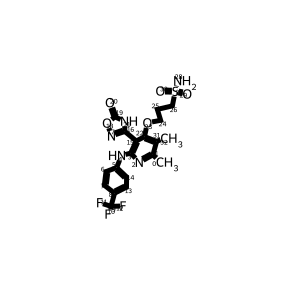 Cc1nc(Nc2ccc(C(F)(F)F)cc2)c(-c2noc(=O)[nH]2)c(OCCCS(N)(=O)=O)c1C